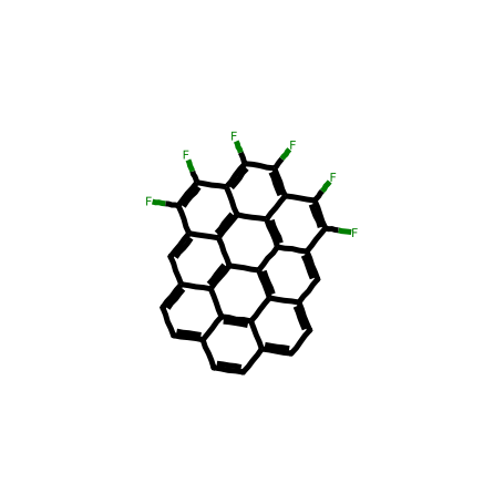 Fc1c(F)c2c(F)c(F)c3c(F)c(F)c4cc5ccc6ccc7ccc8cc1c1c2c3c4c2c5c6c7c8c12